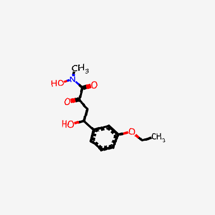 CCOc1cccc(C(O)CC(=O)C(=O)N(C)O)c1